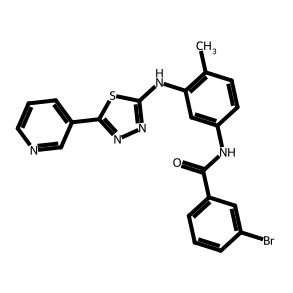 Cc1ccc(NC(=O)c2cccc(Br)c2)cc1Nc1nnc(-c2cccnc2)s1